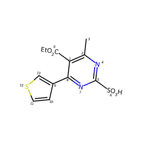 CCOC(=O)c1c(C)nc(S(=O)(=O)O)nc1-c1ccsc1